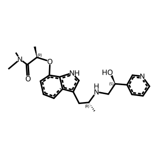 C[C@H](Cc1c[nH]c2c(O[C@H](C)C(=O)N(C)C)cccc12)NC[C@@H](O)c1cccnc1